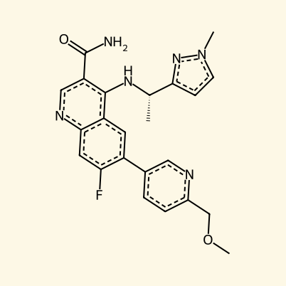 COCc1ccc(-c2cc3c(N[C@@H](C)c4ccn(C)n4)c(C(N)=O)cnc3cc2F)cn1